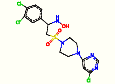 O=S(=O)(CC(NO)c1ccc(Cl)c(Cl)c1)N1CCN(c2cc(Cl)ncn2)CC1